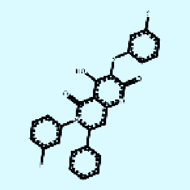 O=c1oc2cc(-c3ccccc3)n(-c3cccc(F)c3)c(=O)c2c(O)c1Sc1cccc(Cl)c1